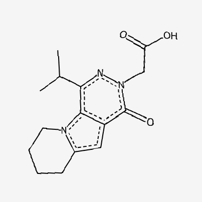 CC(C)c1nn(CC(=O)O)c(=O)c2cc3n(c12)CCCC3